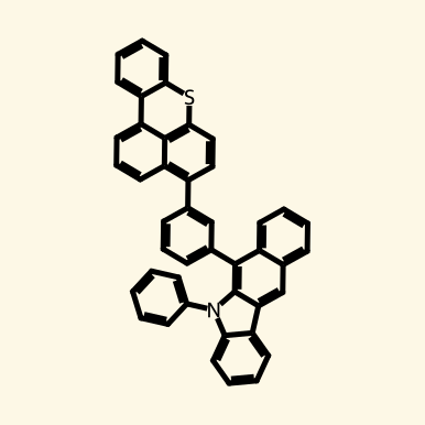 c1ccc(-n2c3ccccc3c3cc4ccccc4c(-c4cccc(-c5ccc6c7c(cccc57)-c5ccccc5S6)c4)c32)cc1